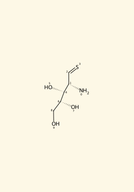 N[C@@H](C=S)[C@@H](O)[C@H](O)CO